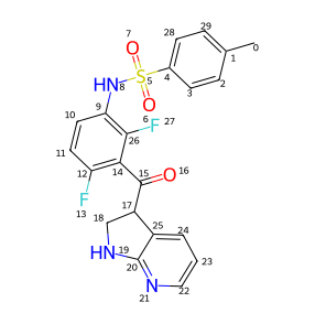 Cc1ccc(S(=O)(=O)Nc2ccc(F)c(C(=O)C3CNc4ncccc43)c2F)cc1